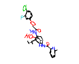 Cc1cccc(C(=O)NC23CCC(NC(=O)COc4ccc(Cl)c(F)c4)(CC2)[C@@H](O)C3)n1